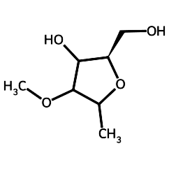 COC1C(C)O[C@H](CO)C1O